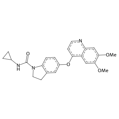 COc1cc2nccc(Oc3ccc4c(c3)CCN4C(=O)NC3CC3)c2cc1OC